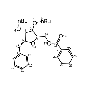 CCCCOC1[C@@H](OCCCC)[C@H](Sc2ccccc2)O[C@@H]1COC(=O)c1ccccc1